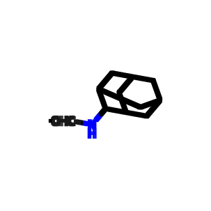 O=[C]NC1C2CC3CC(C2)CC1C3